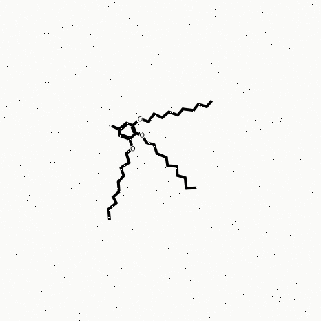 [CH2]c1cc(OCCCCCCCCCC)c(OCCCCCCCCCC)c(OCCCCCCCCCC)c1